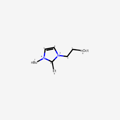 CCCCCCCCCCN1C=CN(CCCC)C1CC